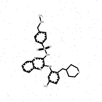 CNCc1ccc(S(=O)(=O)Nc2nc3ccccc3nc2Nc2cc(O)ccc2CC2CCSCC2)cc1